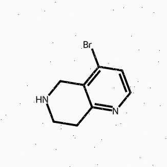 Brc1ccnc2c1CNCC2